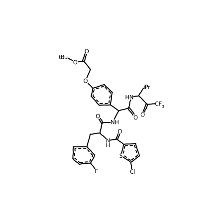 CC(C)C(NC(=O)C(NC(=O)C(Cc1cccc(F)c1)NC(=O)c1ccc(Cl)s1)c1ccc(OCC(=O)OC(C)(C)C)cc1)C(=O)C(F)(F)F